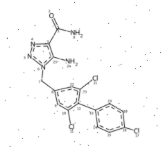 NC(=O)c1nnn(Cc2cc(Cl)c(-c3ccc(Cl)cc3)c(Cl)c2)c1N